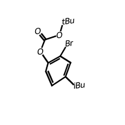 CCC(C)c1ccc(OC(=O)OC(C)(C)C)c(Br)c1